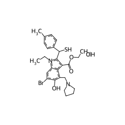 CCOC(=O)c1c(C(S)c2ccc(C)cc2)n(CC)c2cc(Br)c(O)c(CN3CCCC3)c12.Cl